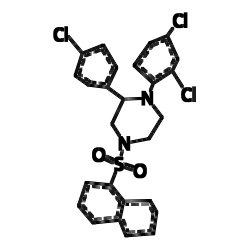 O=S(=O)(c1cccc2ccccc12)N1CCN(c2ccc(Cl)cc2Cl)C(c2ccc(Cl)cc2)C1